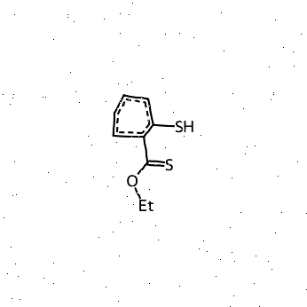 CCOC(=S)c1ccccc1S